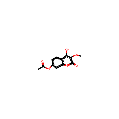 COc1c(O)c2ccc(OC(C)=O)cc2oc1=O